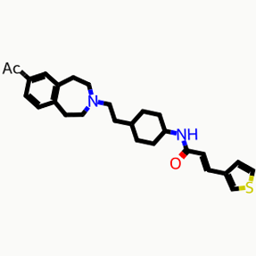 CC(=O)c1ccc2c(c1)CCN(CCC1CCC(NC(=O)/C=C/c3ccsc3)CC1)CC2